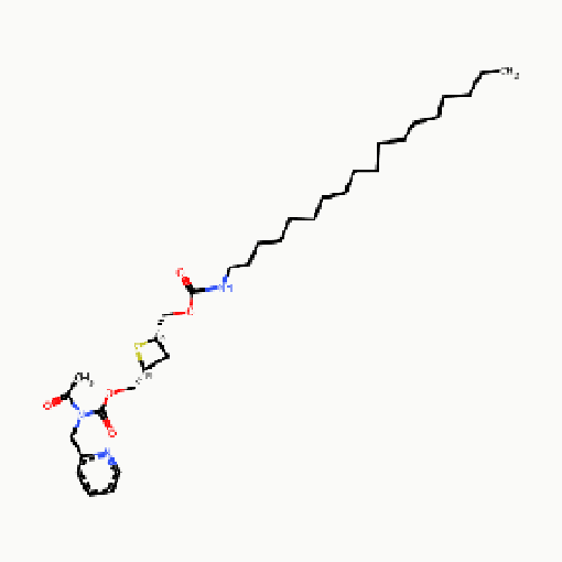 CCCCCCCCCCCCCCCCCCNC(=O)OC[C@@H]1C[C@H](COC(=O)N(Cc2ccccn2)C(C)=O)S1